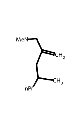 C=C(CNC)CC(C)CCC